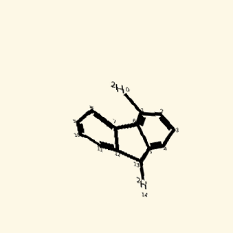 [2H]c1cccc2c1-c1ccccc1C2[2H]